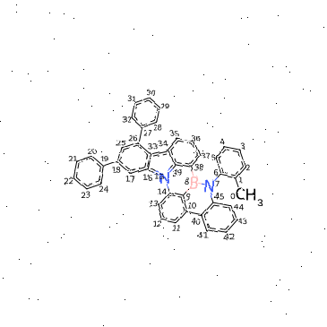 Cc1ccccc1N1B2c3c(cccc3-n3c4cc(-c5ccccc5)cc(-c5ccccc5)c4c4cccc2c43)-c2ccccc21